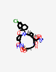 C[C@@H]1[C@@H](C)C/C=C/[C@](O)([C@@H](O)C(=O)N(C)C)[C@@H]2CC[C@H]2CN2C[C@@]3(CCCc4cc(Cl)ccc43)COc3ccc(cc32)C(=O)NS1(=O)=O